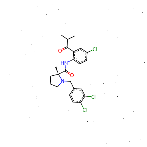 CC(C)C(=O)c1cc(Cl)ccc1NC(=O)[C@@]1(C)CCCN1Cc1ccc(Cl)c(Cl)c1